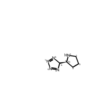 C1CN[C@H](C2N=NN=N2)C1